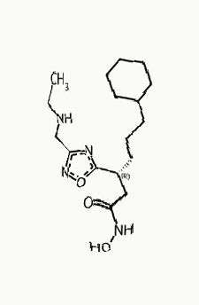 CCNCc1noc([C@H](CCCC2CCCCC2)CC(=O)NO)n1